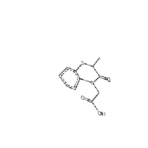 CC1Sc2ccccc2N(CC(=O)O)C1=O